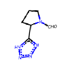 O=CN1CCCC1c1nnn[nH]1